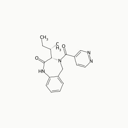 CC[C@H](C)[C@H]1C(=O)Nc2ccccc2CN1C(=O)c1ccnnc1